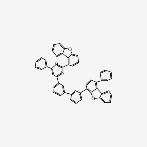 c1ccc(-c2cc(-c3cccc(-c4cccc(-c5ccc(-c6ccccc6)c6c5oc5ccccc56)c4)c3)nc(-c3cccc4oc5ccccc5c34)n2)cc1